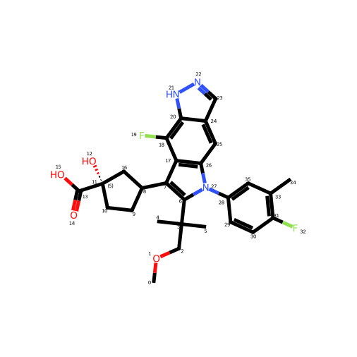 COCC(C)(C)c1c(C2CC[C@@](O)(C(=O)O)C2)c2c(F)c3[nH]ncc3cc2n1-c1ccc(F)c(C)c1